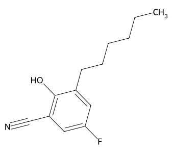 CCCCCCc1cc(F)cc(C#N)c1O